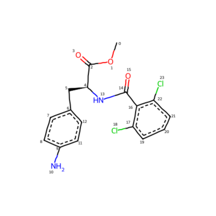 COC(=O)[C@H](Cc1ccc(N)cc1)NC(=O)c1c(Cl)cccc1Cl